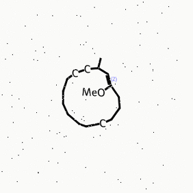 CO/C1=C\C(C)CCCCCCCCCCCC1